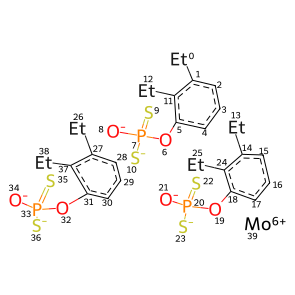 CCc1cccc(OP([O-])(=S)[S-])c1CC.CCc1cccc(OP([O-])(=S)[S-])c1CC.CCc1cccc(OP([O-])(=S)[S-])c1CC.[Mo+6]